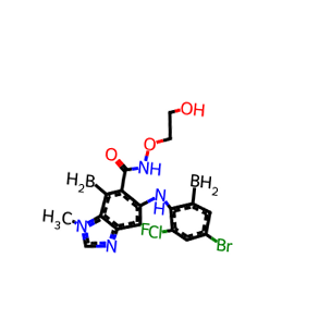 Bc1cc(Br)cc(Cl)c1Nc1c(C(=O)NOCCO)c(B)c2c(ncn2C)c1F